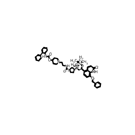 CC(C)(C)[Si](C)(C)O[C@H](CN[C@H]1CC[C@@H](C(=O)NCCN2CCC(OC(=O)Nc3ccccc3-c3ccccc3)CC2)C1)c1ccc(OCc2ccccc2)c2[nH]c(=O)ccc12